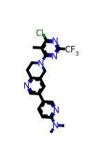 Cc1c(Cl)nc(C(F)(F)F)nc1N1CCc2ncc(-c3ccc(N(C)C)nc3)cc2C1